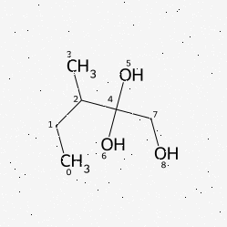 CCC(C)C(O)(O)CO